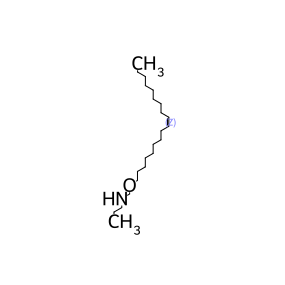 CCCCCCCC/C=C\CCCCCCCCOCNCCC